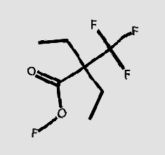 CCC(CC)(C(=O)OF)C(F)(F)F